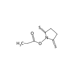 CCC(=O)ON1C(=S)CCC1=S